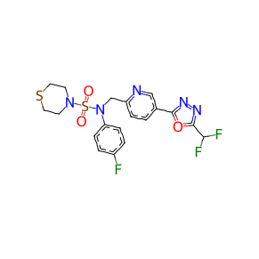 O=S(=O)(N1CCSCC1)N(Cc1ccc(-c2nnc(C(F)F)o2)cn1)c1ccc(F)cc1